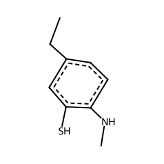 CCc1ccc(NC)c(S)c1